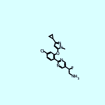 Cn1nc(C2CC2)cc1Oc1cc(Cl)ccc1-c1ncc(C(F)CN)cn1